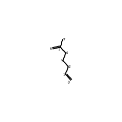 C=CCCCC(=C)C